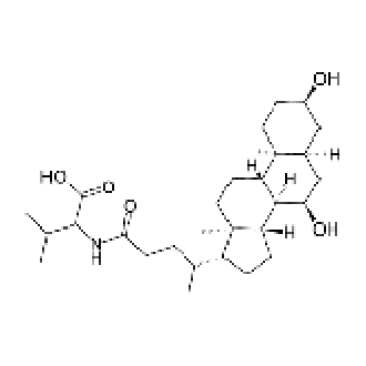 CC(C)C(NC(=O)CCC(C)[C@H]1CC[C@H]2[C@@H]3[C@H](O)C[C@@H]4C[C@H](O)CC[C@]4(C)[C@H]3CC[C@]12C)C(=O)O